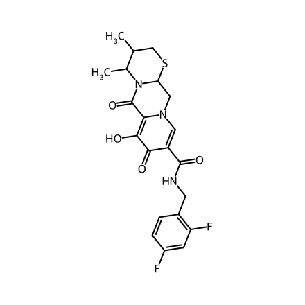 CC1CSC2Cn3cc(C(=O)NCc4ccc(F)cc4F)c(=O)c(O)c3C(=O)N2C1C